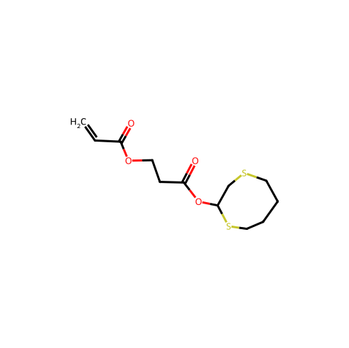 C=CC(=O)OCCC(=O)OC1CSCCCCS1